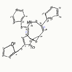 O=C1C(Cc2ccco2)=C/C2=C(\Cc3ccccc3)NC/C(c3ccccc3)=C\C3CC123